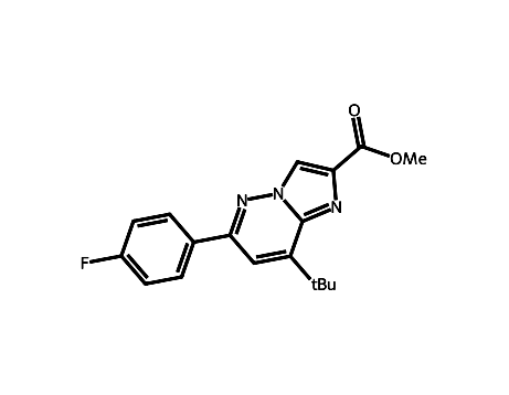 COC(=O)c1cn2nc(-c3ccc(F)cc3)cc(C(C)(C)C)c2n1